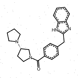 O=C(c1ccc(Cc2nc3ccccc3[nH]2)cc1)N1CC[C@H](N2CCCC2)C1